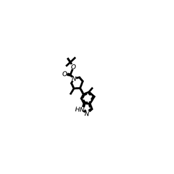 Cc1cc2cn[nH]c2cc1C1CCN(C(=O)OC(C)(C)C)CC1C